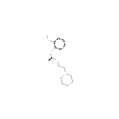 CCOc1ccccc1NC(=O)OCCN1CCCCC1